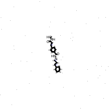 O=C(/C=C/c1ccc(C(=O)N/N=C/C=C/c2ccccc2)cc1)NO